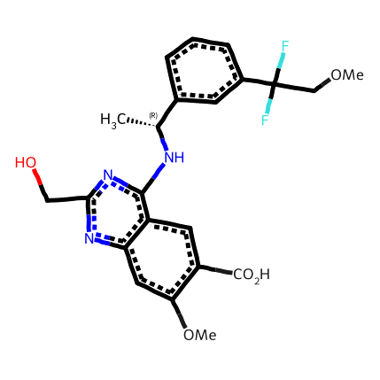 COCC(F)(F)c1cccc([C@@H](C)Nc2nc(CO)nc3cc(OC)c(C(=O)O)cc23)c1